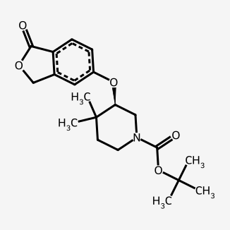 CC(C)(C)OC(=O)N1CCC(C)(C)[C@@H](Oc2ccc3c(c2)COC3=O)C1